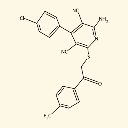 N#Cc1c(N)nc(SCC(=O)c2ccc(C(F)(F)F)cc2)c(C#N)c1-c1ccc(Cl)cc1